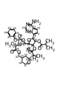 CC(C)C(=O)O[C@H]1[C@H](c2ccc3c(N)ncnn23)O[C@](C#N)(COP(=O)(N[C@@H](C)C(=O)OCC2CCOCC2)Oc2ccccc2)[C@H]1OC(=O)C(C)C